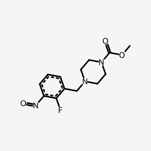 COC(=O)N1CCN(Cc2cccc(N=O)c2F)CC1